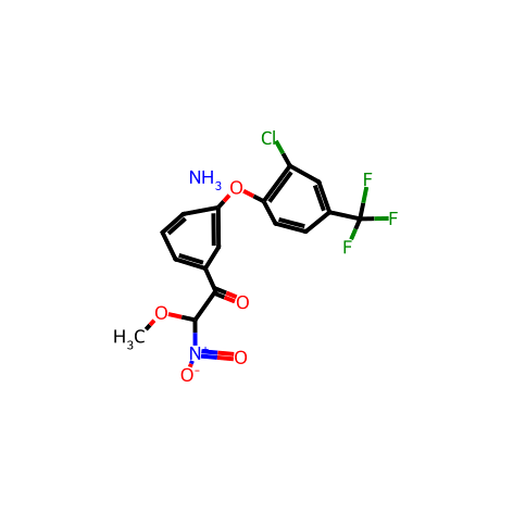 COC(C(=O)c1cccc(Oc2ccc(C(F)(F)F)cc2Cl)c1)[N+](=O)[O-].N